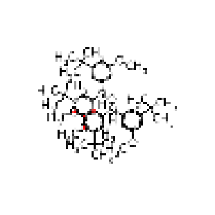 COc1cc([SiH](O[SiH](c2cc(OC)cc(C(C)(C)C)c2)c2cc(OC)cc(C(C)(C)C)c2)c2cc(OC)cc(C(C)(C)C)c2)cc(C(C)(C)C)c1